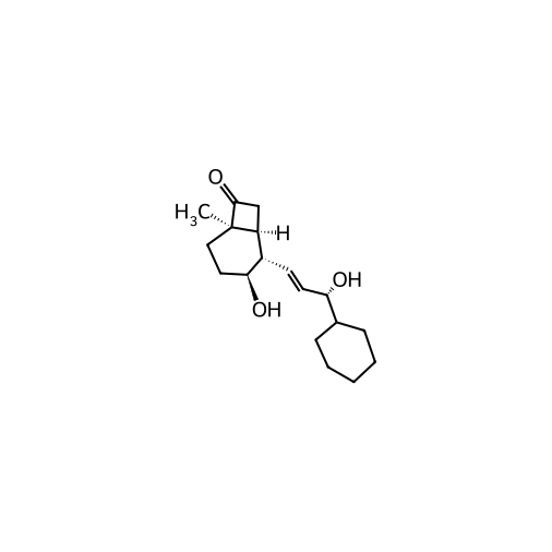 C[C@@]12CC[C@H](O)[C@@H](/C=C/[C@H](O)C3CCCCC3)[C@@H]1CC2=O